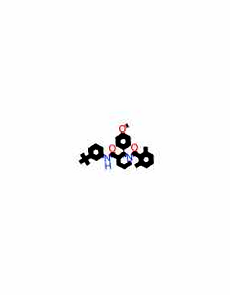 COc1ccc([C@H]2C(C(=O)Nc3cccc(C(C)(C)C)c3)CCCN2C(=O)c2c(C)cccc2C)cc1